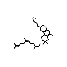 CC(C)=CCCC(C)=CCCC(C)=CCCC1(C)CCc2c3c(cc(C)c2O1)OCN(CCCO)C3